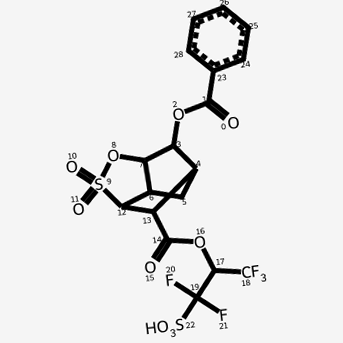 O=C(OC1C2CC3C1OS(=O)(=O)C3C2C(=O)OC(C(F)(F)F)C(F)(F)S(=O)(=O)O)c1ccccc1